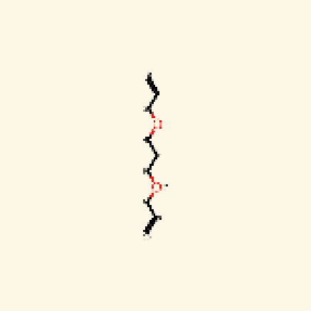 C=CCOC[CH]COCC=C